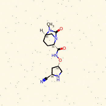 CN1C(=O)N2C[C@H]1CC[C@H]2C(=O)NO[C@@H]1CN[C@@H](C#N)C1